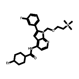 CCC1CCC(C(=O)Nc2ccnc3c2cc(-c2cccc(F)c2)n3COCC[Si](C)(C)C)CC1